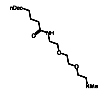 CCCCCCCCCCCCCC(=O)NCCOCCOCCNC